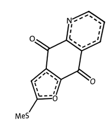 CSc1cc2c(o1)C(=O)c1cccnc1C2=O